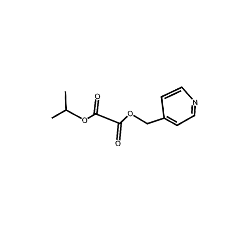 CC(C)OC(=O)C(=O)OCc1ccncc1